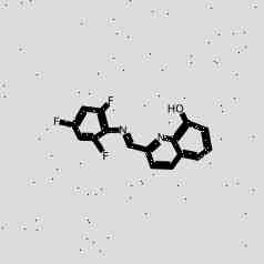 Oc1cccc2ccc(C=Nc3c(F)cc(F)cc3F)nc12